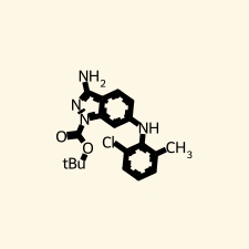 Cc1cccc(Cl)c1Nc1ccc2c(N)nn(C(=O)OC(C)(C)C)c2c1